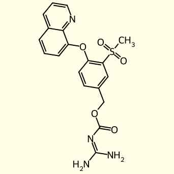 CS(=O)(=O)c1cc(COC(=O)N=C(N)N)ccc1Oc1cccc2cccnc12